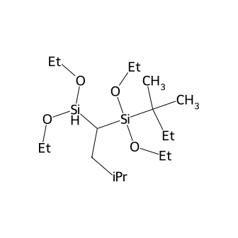 CCO[SiH](OCC)C(CC(C)C)[Si](OCC)(OCC)C(C)(C)CC